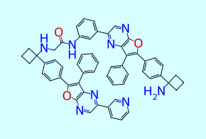 NC1(c2ccc(-c3oc4ncc(-c5cccc(NC(=O)CNC6(c7ccc(-c8oc9ncc(-c%10cccnc%10)nc9c8-c8ccccc8)cc7)CCC6)c5)nc4c3-c3ccccc3)cc2)CCC1